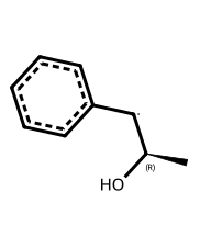 C[C@@H](O)[CH]c1ccccc1